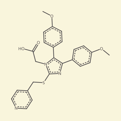 COc1ccc(-c2nc(SCc3ccncc3)n(CC(=O)O)c2-c2ccc(OC)cc2)cc1